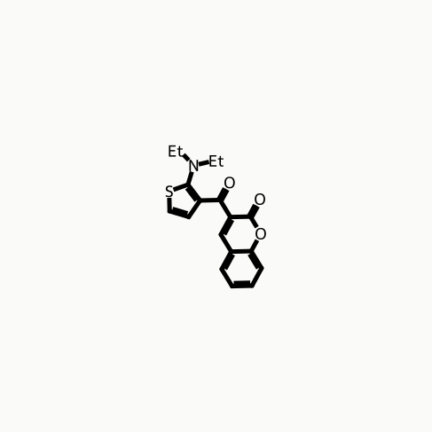 CCN(CC)c1sccc1C(=O)c1cc2ccccc2oc1=O